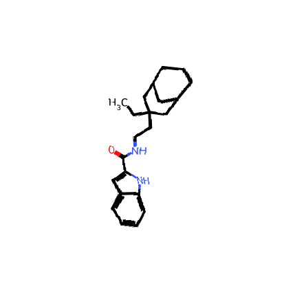 CCC1(CCNC(=O)c2cc3ccccc3[nH]2)CC2CCCC(C2)C1